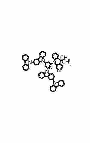 CC1(C)c2ccccc2N(c2cc(-n3c4ccccc4c4cc(-n5c6ccccc6c6ccccc65)ccc43)cc(-n3c4ccccc4c4cc(-n5c6ccccc6c6ccccc65)ccc43)n2)c2cnccc21